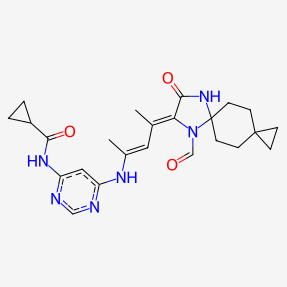 CC(/C=C(\C)Nc1cc(NC(=O)C2CC2)ncn1)=C1\C(=O)NC2(CCC3(CC3)CC2)N1C=O